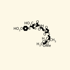 COC(C)(C)CCOC(C)(C)CCSC1CC(=O)N(CCC(=O)NC2C(=O)N3C(C(=O)O)=C(CSc4ccc(C(=O)O)cc4)CSC23)C1=O